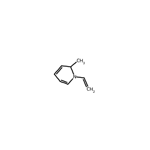 C=CN1C=CC=CC1C